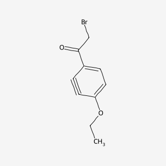 CCOc1c#cc(C(=O)CBr)cc1